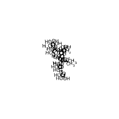 CC(C)=CCC[C@](C)(O[C@@H]1O[C@H](CO[C@@H]2OC[C@@H](O)[C@H](O)[C@H]2O)[C@@H](O)[C@H](O)[C@H]1O)[C@H]1CC[C@]2(C)[C@@H]1[C@H](O)C[C@@H]1[C@@]3(C)CC[C@H](O)C(C)(C)[C@@H]3[C@@H](O[C@@H]3O[C@H](CO)[C@@H](O)[C@H](O)[C@H]3O[C@@H]3O[C@@H](C)[C@H](O)[C@@H](O)[C@H]3O)C[C@]12C